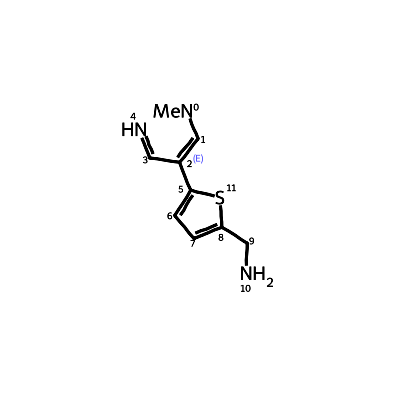 CN/C=C(\C=N)c1ccc(CN)s1